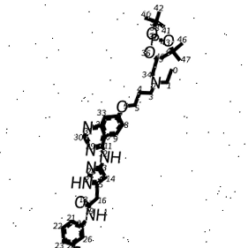 CCN(CCCOc1ccc2c(Nc3cc(CC(=O)Nc4cccc(F)c4)[nH]n3)ncnc2c1)CCOP(OC(C)(C)C)OC(C)(C)C